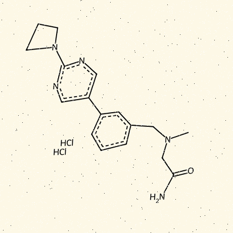 CN(CC(N)=O)Cc1cccc(-c2cnc(N3CCC3)nc2)c1.Cl.Cl